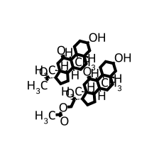 CC(=O)OCC(=O)[C@H]1CC[C@H]2[C@@H]3CC[C@H]4C[C@H](O)CC[C@]4(C)[C@H]3C(=O)C[C@]12C.CC(=O)[C@H]1CC[C@H]2[C@@H]3CC[C@H]4C[C@H](O)CC[C@]4(C)[C@H]3C(=O)C[C@]12C